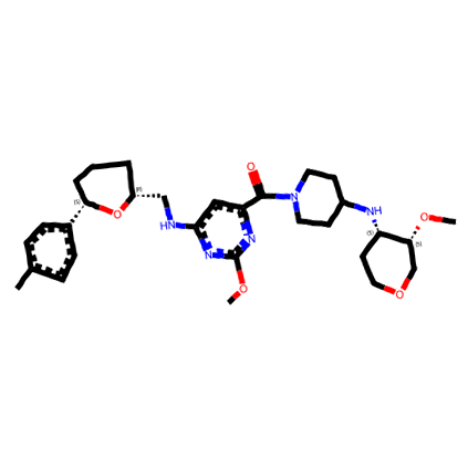 COc1nc(NC[C@H]2CCC[C@@H](c3ccc(C)cc3)O2)cc(C(=O)N2CCC(N[C@H]3CCOC[C@H]3OC)CC2)n1